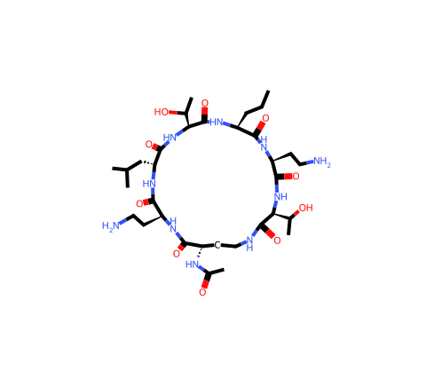 CCC[C@@H]1NC(=O)[C@H](C(C)O)NC(=O)[C@@H](CC(C)C)NC(=O)[C@H](CCN)NC(=O)[C@@H](NC(C)=O)CCNC(=O)[C@H](C(C)O)NC(=O)[C@H](CCN)NC1=O